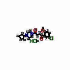 COc1ccc(Cl)cc1C(=O)CCC(=O)N1CCN(C2CCCC2)CC1.Cl